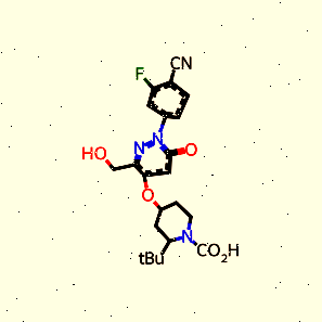 CC(C)(C)C1CC(Oc2cc(=O)n(-c3ccc(C#N)c(F)c3)nc2CO)CCN1C(=O)O